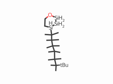 CC(C)(C)C(C)(C)C(C)(C)C(C)(C)C(C)(C)C(C)(C)C(C)(C)[SiH]1CCO[SiH2][SiH2]1